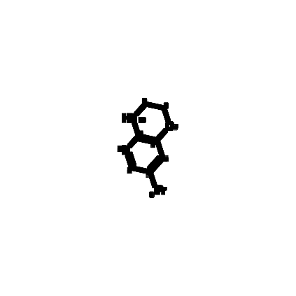 CC(C)c1cnc2c(c1)OCCN2